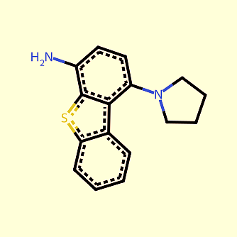 Nc1ccc(N2CCCC2)c2c1sc1ccccc12